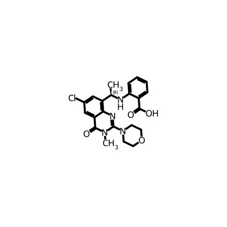 C[C@@H](Nc1ccccc1C(=O)O)c1cc(Cl)cc2c(=O)n(C)c(N3CCOCC3)nc12